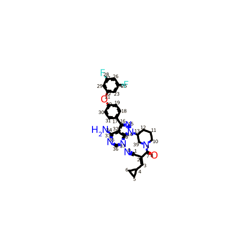 N#CC(=CC1CC1)C(=O)N1CCCC(n2nc(-c3ccc(Oc4cc(F)cc(F)c4)cc3)c3c(N)ncnc32)C1